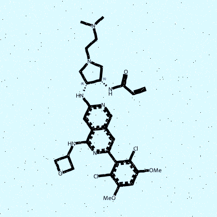 C=CC(=O)N[C@H]1CN(CCN(C)C)C[C@H]1Nc1cc2c(NC3COC3)nc(-c3c(Cl)c(OC)cc(OC)c3Cl)cc2cn1